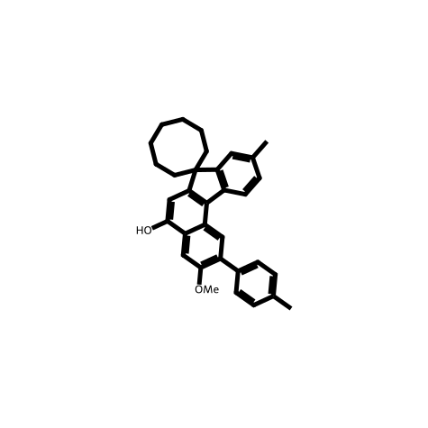 COc1cc2c(O)cc3c(c2cc1-c1ccc(C)cc1)-c1ccc(C)cc1C31CCCCCCC1